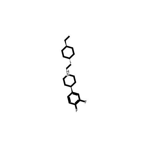 CC[C@H]1CC[C@H](CC[Si@H]2CC[C@H](c3ccc(F)c(F)c3)CC2)CC1